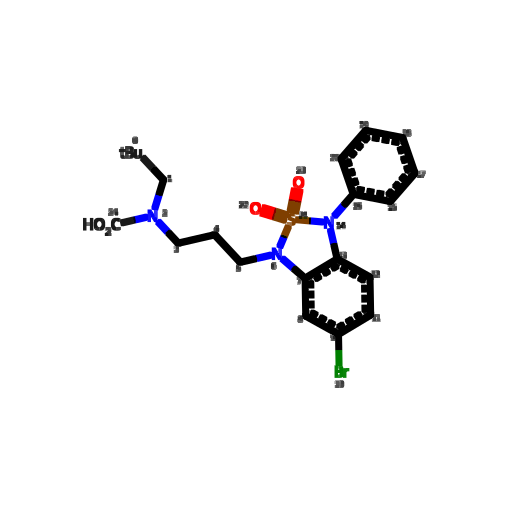 CC(C)(C)CN(CCCN1c2cc(Br)ccc2N(c2ccccc2)S1(=O)=O)C(=O)O